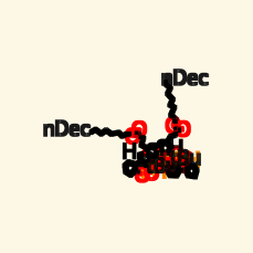 CCCCCCCCCCCCCCCCCCOC(=O)CCc1cc(C)c(P(O)(Oc2cccc3c2[PH](=O)Oc2ccccc2-3)(Oc2cccc3c2[PH](=O)Oc2ccccc2-3)c2c(C)cc(CCC(=O)OCCCCCCCCCCCCCCCCCC)cc2C(C)(C)C)c(C(C)(C)C)c1